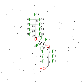 OCC(F)(F)C(F)(F)C(F)(F)OC(F)(F)C(F)(F)OC(F)(F)C(F)(F)C(F)(F)C(F)(F)F